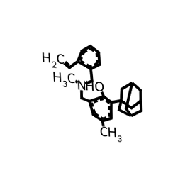 C=Cc1ccccc1CN(C)Cc1cc(C)cc(C23CC4CC(CC(C4)C2)C3)c1O